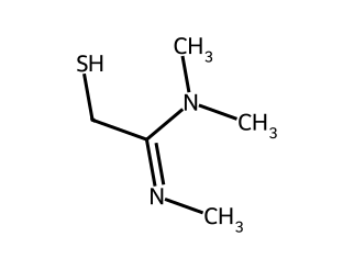 CN=C(CS)N(C)C